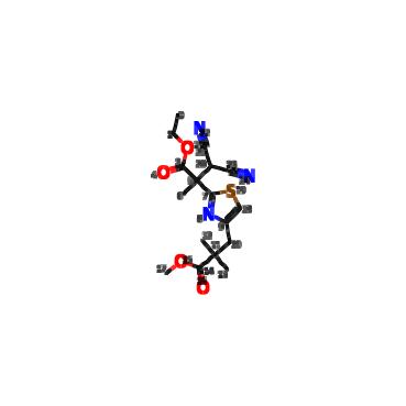 CCOC(=O)C(C)(c1nc(CC(C)(C)C(=O)OC)cs1)C(C#N)C#N